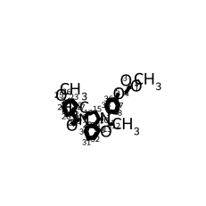 COC(=O)COc1ccc(N(C(C)=O)[C@@H]2C[C@H](C)N(C(=O)c3ccc(OC)cc3)c3ccccc32)cc1